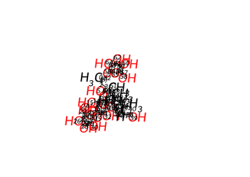 C[C@@H](CC[C@@]1(O)O[C@H]2CC3(O[C@@H]4O[C@H](CO)[C@H](O)[C@H](O[C@@H]5O[C@H](CO)[C@@H](O)[C@H](O)[C@H]5O)[C@H]4O)[C@@H]4CC[C@@H]5C[C@@H](O)CC[C@]5(C)[C@H]4CC[C@]3(C)[C@H]2[C@@H]1C)CO[C@@H]1O[C@H](CO)[C@H](O)[C@H](O)[C@H]1O